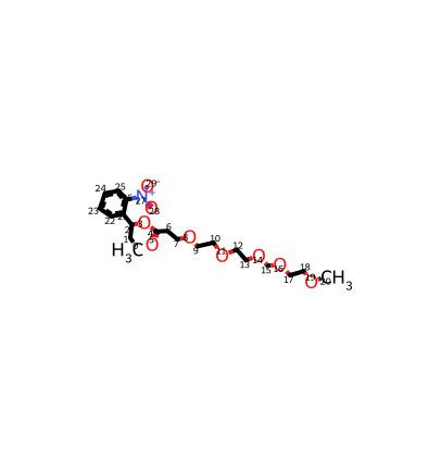 CCC(OC(=O)CCOCCOCCOCOCCOC)c1ccccc1[N+](=O)[O-]